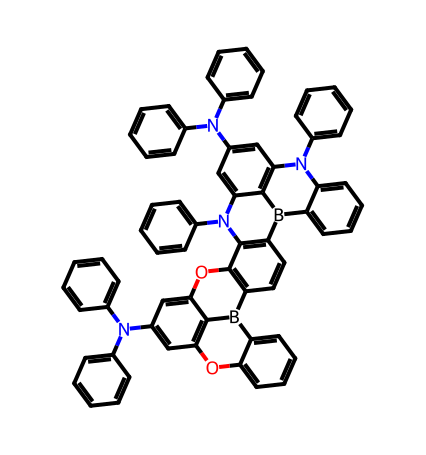 c1ccc(N(c2ccccc2)c2cc3c4c(c2)Oc2c(ccc5c2N(c2ccccc2)c2cc(N(c6ccccc6)c6ccccc6)cc6c2B5c2ccccc2N6c2ccccc2)B4c2ccccc2O3)cc1